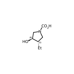 CC[C@H]1CN(C(=O)O)C[C@@H]1O